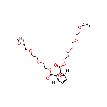 COCCOCCOCCOC(=O)C1C(C(=O)OCCOCCOCCOC)[C@H]2C=C[C@@H]1O2